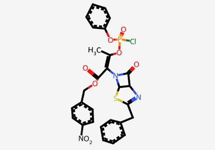 CC(OP(=O)(Cl)Oc1ccccc1)=C(C(=O)OCc1ccc([N+](=O)[O-])cc1)N1C(=O)C2N=C(Cc3ccccc3)SC21